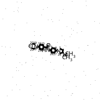 CN(C)C1CCN(c2ccc(NC(=O)c3ccc(N4CCOCC4)cc3)cc2)C1